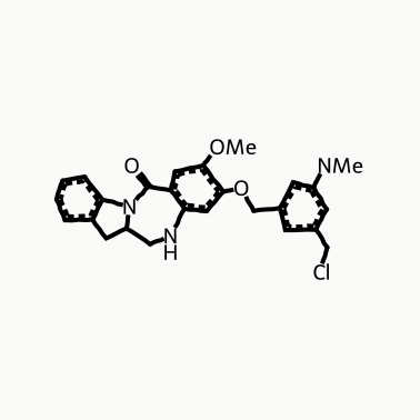 CNc1cc(CCl)cc(COc2cc3c(cc2OC)C(=O)N2c4ccccc4CC2CN3)c1